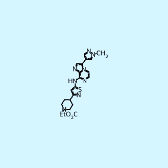 CCOC(=O)N1CCC(c2cc(Nc3nccn4c(-c5cnn(C)c5)cnc34)sn2)CC1